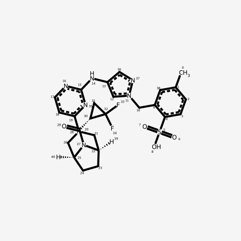 Cc1ccc(S(=O)(=O)O)c(Cn2cc(Nc3nccc(N4C[C@H]5CC[C@@H](C4)N5C(=O)[C@@H]4CC4(F)F)n3)cn2)c1